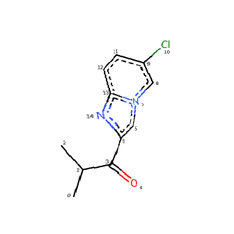 CC(C)C(=O)c1cn2cc(Cl)ccc2n1